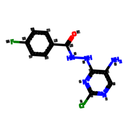 Nc1cnc(Cl)nc1NNC(=O)c1ccc(F)cc1